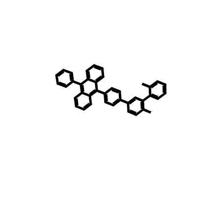 Cc1ccccc1-c1cc(-c2ccc(-c3c4ccccc4c(-c4ccccc4)c4ccccc34)cc2)ccc1C